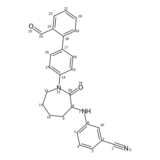 N#Cc1cccc(NC2CCCCN(c3ccc(-c4ccccc4C=O)cc3)C2=O)c1